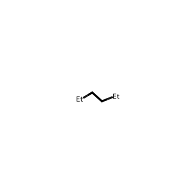 [CH2]C[CH]CCC